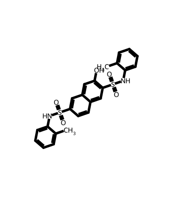 Cc1ccccc1NS(=O)(=O)c1ccc2cc(S(=O)(=O)Nc3ccccc3C)c(O)cc2c1